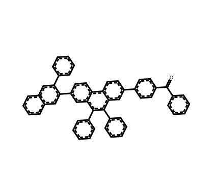 O=C(c1ccccc1)c1ccc(-c2ccc3c(c2)c(-c2ccccc2)c(-c2ccccc2)c2cc(-c4cc5ccccc5cc4-c4ccccc4)ccc23)cc1